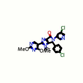 COc1ncc(-c2nc3c(n2C(C)C)C(c2ccc(Cl)cc2)N(c2cncc(Cl)c2)C3=O)c(OC)n1